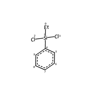 CC[Si](Cl)(Cl)c1ccccc1